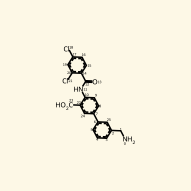 NCc1cccc(-c2ccc(NC(=O)c3ccc(Cl)cc3Cl)c(C(=O)O)c2)c1